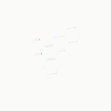 CCn1c(NC2CCCCC2)c(C(=O)O)c(=O)c2cc(F)ccc21